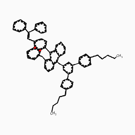 CCCCCc1ccc(-c2cc(-c3ccc(CCCCC)cc3)cc(-c3c4ccccc4c(-c4ccc(C=C(c5ccccc5)c5ccccc5)cc4)c4c(-c5ccccc5)cccc34)c2)cc1